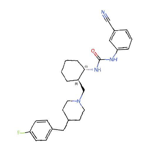 N#Cc1cccc(NC(=O)N[C@H]2CCCC[C@@H]2CN2CCC(Cc3ccc(F)cc3)CC2)c1